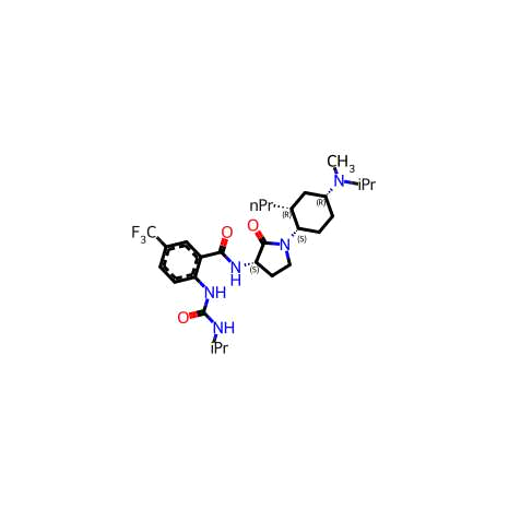 CCC[C@@H]1C[C@H](N(C)C(C)C)CC[C@@H]1N1CC[C@H](NC(=O)c2cc(C(F)(F)F)ccc2NC(=O)NC(C)C)C1=O